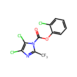 O=C(Oc1ccccc1Cl)n1c(C(F)(F)F)nc(Cl)c1Cl